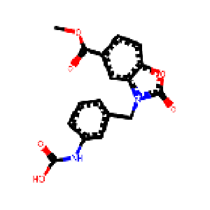 COC(=O)c1ccc2oc(=O)n(Cc3cccc(NC(=O)O)c3)c2c1